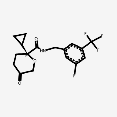 O=C1CC[C@@](C(=O)NCc2cc(F)cc(C(F)(F)F)c2)(C2CC2)OC1